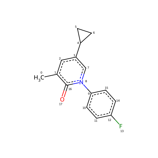 Cc1cc(C2CC2)cn(-c2ccc(F)cc2)c1=O